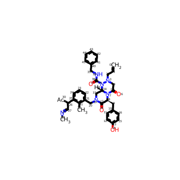 C=CCN1CC(=O)N2[C@@H](Cc3ccc(O)cc3)C(=O)N(Cc3cccc(C(/C=N/C)C(C)=O)c3C)C[C@@H]2N1C(=O)NCc1ccccc1